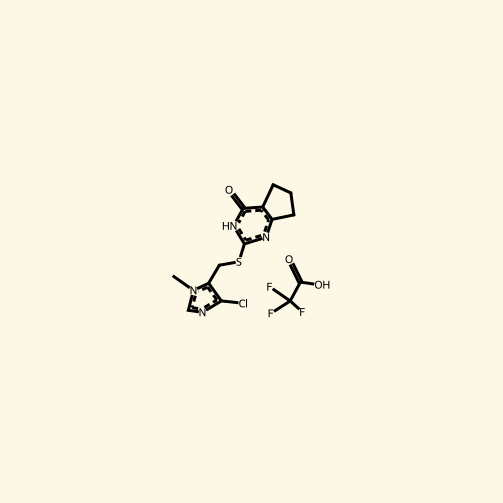 Cn1cnc(Cl)c1CSc1nc2c(c(=O)[nH]1)CCC2.O=C(O)C(F)(F)F